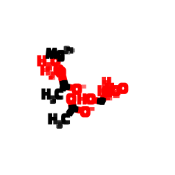 CC(=O)[O-].CC(=O)[O-].O.O.O.O.OCO.[Mg+2]